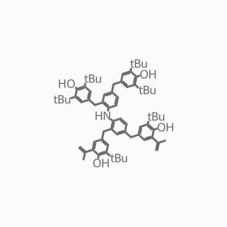 C=C(C)c1cc(Cc2ccc(Nc3ccc(Cc4cc(C(C)(C)C)c(O)c(C(C)(C)C)c4)cc3Cc3cc(C(C)(C)C)c(O)c(C(C)(C)C)c3)c(Cc3cc(C(=C)C)c(O)c(C(C)(C)C)c3)c2)cc(C(C)(C)C)c1O